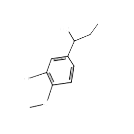 CCC(O)c1ccc(OC)c(Cl)c1